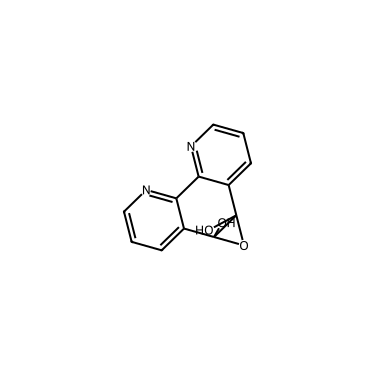 OC12OC1(O)c1cccnc1-c1ncccc12